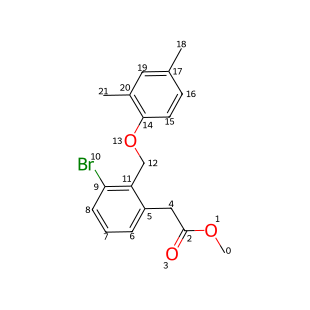 COC(=O)Cc1cccc(Br)c1COc1ccc(C)cc1C